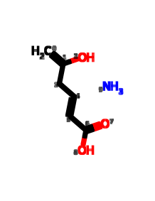 C=C(O)C/C=C/C(=O)O.N